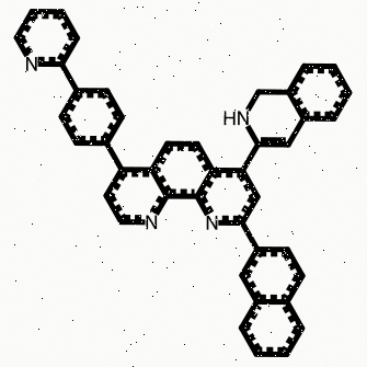 C1=C(c2cc(-c3ccc4ccccc4c3)nc3c2ccc2c(-c4ccc(-c5ccccn5)cc4)ccnc23)NCc2ccccc21